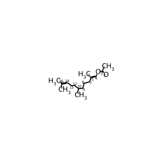 CC(=O)O/C=C(\C)CCCC(C)CCC=C(C)C